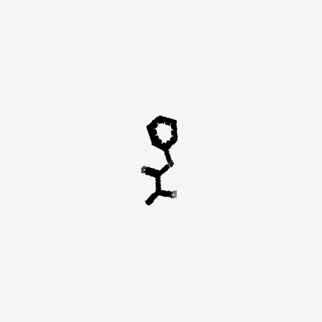 CC(Cl)C(=O)[N]c1ccccc1